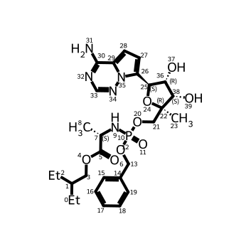 CCC(CC)COC(=O)[C@H](C)NP(=O)(OCc1ccccc1)OC[C@@]1(C)O[C@@H](c2ccc3c(N)ncnn23)[C@H](O)[C@@H]1O